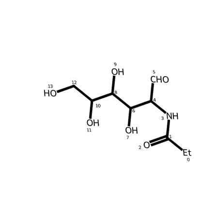 CCC(=O)NC(C=O)C(O)C(O)C(O)CO